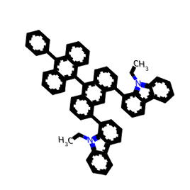 CCn1c2ccccc2c2cccc(-c3cccc4c(-c5c6ccccc6c(-c6ccccc6)c6ccccc56)c5cccc(-c6cccc7c8ccccc8n(CC)c67)c5cc34)c21